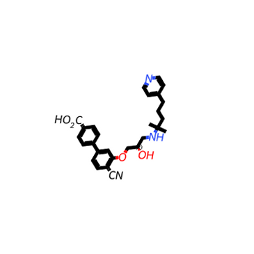 CC(C)(CCCc1ccncc1)NC[C@@H](O)COc1cc(-c2ccc(C(=O)O)cc2)ccc1C#N